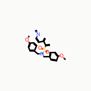 C=N/C=C\C(=C)C(=C)S(=O)(=O)N(Cc1ccc(OC)cc1)Cc1ccc(OC)cc1